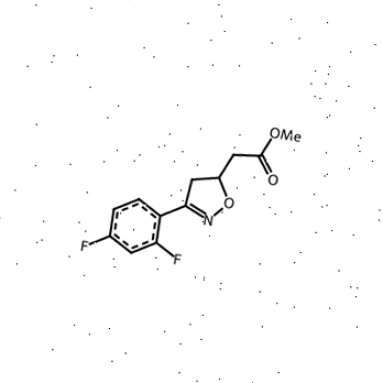 COC(=O)CC1CC(c2ccc(F)cc2F)=NO1